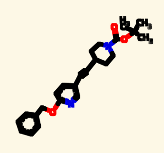 CC(C)(C)OC(=O)N1CCC(C#Cc2ccc(OCc3ccccc3)nc2)CC1